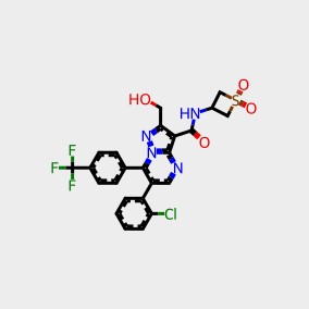 O=C(NC1CS(=O)(=O)C1)c1c(CO)nn2c(-c3ccc(C(F)(F)F)cc3)c(-c3ccccc3Cl)cnc12